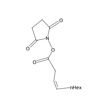 CCCCCC/C=C\CC(=O)ON1C(=O)CCC1=O